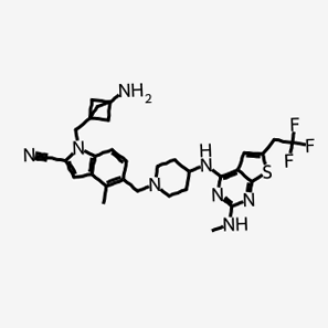 CNc1nc(NC2CCN(Cc3ccc4c(cc(C#N)n4CC45CC(N)(C4)C5)c3C)CC2)c2cc(CC(F)(F)F)sc2n1